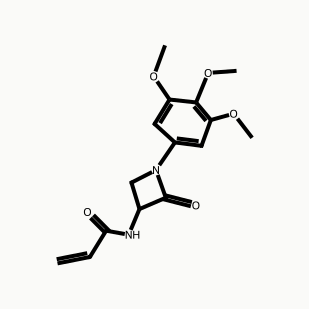 C=CC(=O)NC1CN(c2cc(OC)c(OC)c(OC)c2)C1=O